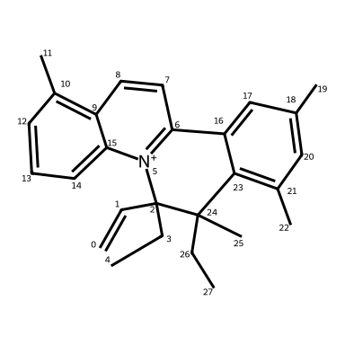 C=CC1(CC)[n+]2c(ccc3c(C)cccc32)-c2cc(C)cc(C)c2C1(C)CC